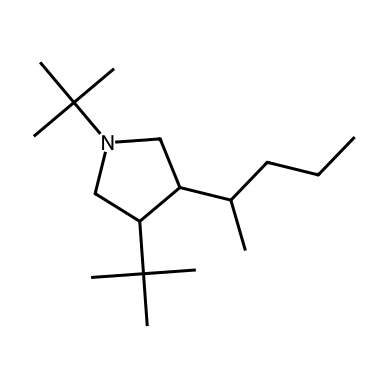 CCCC(C)C1CN(C(C)(C)C)CC1C(C)(C)C